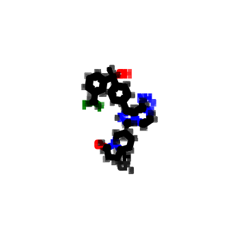 C[C@@](O)(c1ccc(-c2nc([C@@H]3CC[C@H]4[C@H](C(F)(F)F)CC(=O)N4C3)n3ccnc(N)c23)cc1)c1cccc(C(F)F)c1